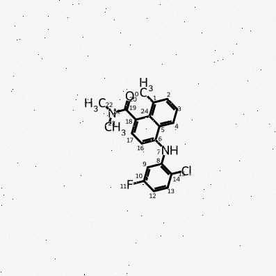 Cc1cccc2c(Nc3cc(F)ccc3Cl)ccc(C(=O)N(C)C)c12